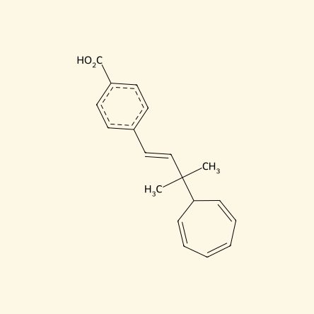 CC(C)(/C=C/c1ccc(C(=O)O)cc1)C1C=CC=CC=C1